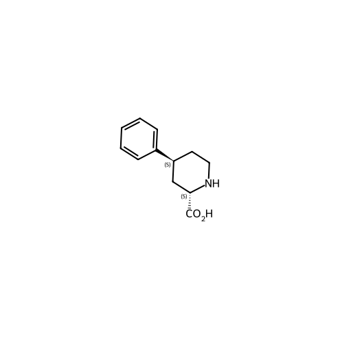 O=C(O)[C@@H]1C[C@@H](c2ccccc2)CCN1